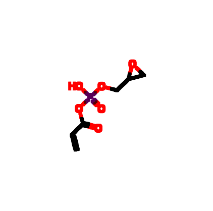 C=CC(=O)OP(=O)(O)OCC1CO1